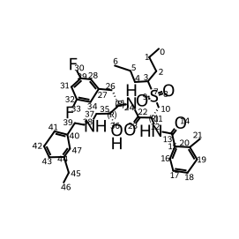 CCCC(CCC)S(=O)(=O)C[C@H](NC(=O)c1ccccc1C)C(=O)N[C@@H](Cc1cc(F)cc(F)c1)[C@H](O)CNCc1cccc(CC)c1